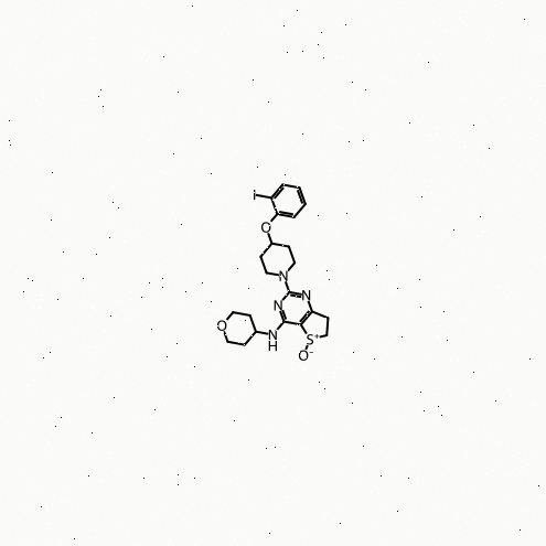 [O-][S+]1CCc2nc(N3CCC(Oc4ccccc4I)CC3)nc(NC3CCOCC3)c21